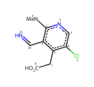 CNc1ncc(Cl)c(CC(=O)O)c1C=N